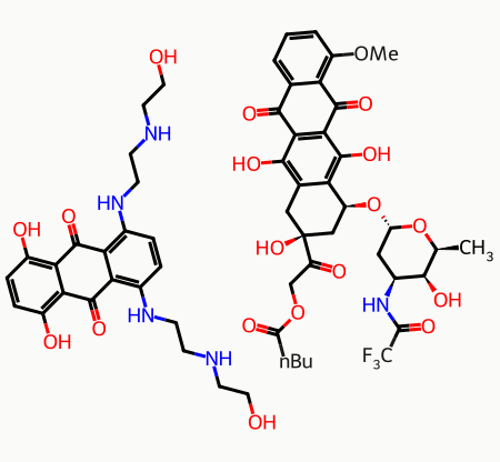 CCCCC(=O)OCC(=O)[C@]1(O)Cc2c(O)c3c(c(O)c2[C@@H](O[C@H]2C[C@H](NC(=O)C(F)(F)F)[C@H](O)[C@H](C)O2)C1)C(=O)c1c(OC)cccc1C3=O.O=C1c2c(O)ccc(O)c2C(=O)c2c(NCCNCCO)ccc(NCCNCCO)c21